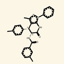 Cc1ccc([C@@H]2c3c(C)nn(-c4ccccc4)c3NC(=O)[C@@H]2NC(=O)c2cccc(C)c2)cc1